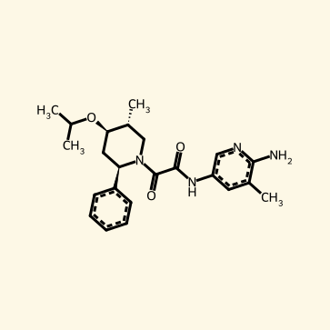 Cc1cc(NC(=O)C(=O)N2C[C@@H](C)[C@H](OC(C)C)C[C@@H]2c2ccccc2)cnc1N